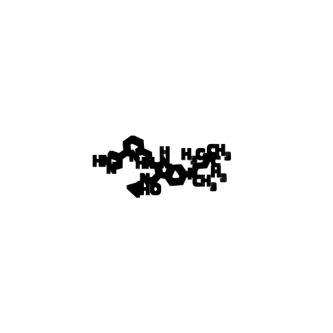 CN(CCC(C)(C)C)c1ccc2c(C(=O)NC3CC3)c(NCc3cccc(-c4cn[nH]c4)n3)[nH]c2c1